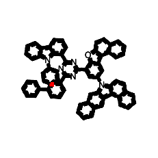 c1ccc(-c2cccc(-c3nc(-c4cc(-n5c6cc7ccccc7cc6c6c7ccccc7ccc65)cc5c4oc4ccc6ccccc6c45)nc(-c4cccc5c6ccccc6n(-c6ccccc6)c45)n3)c2)cc1